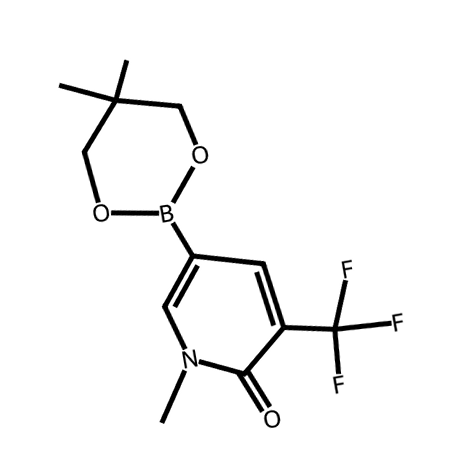 Cn1cc(B2OCC(C)(C)CO2)cc(C(F)(F)F)c1=O